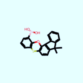 CC1(C)c2ccccc2-c2c1ccc1c2Oc2c(cccc2B(O)O)S1